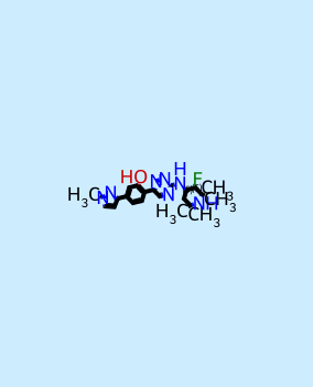 Cn1ccc(-c2ccc(-c3cnc(N[C@H]4CC(C)(C)NC(C)(C)[C@H]4F)nn3)c(O)c2)n1